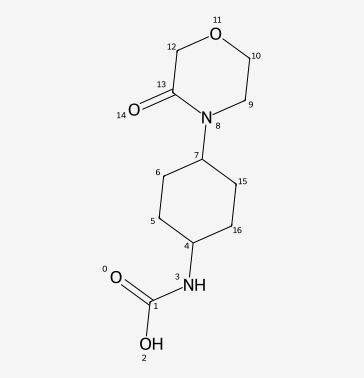 O=C(O)NC1CCC(N2CCOCC2=O)CC1